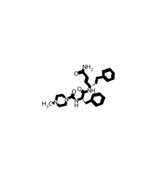 CN1CCN(C(=O)N[C@@H](Cc2ccccc2)C(=O)N[C@H](/C=C/C(N)=O)CCc2ccccc2)CC1